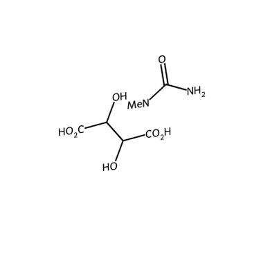 CNC(N)=O.O=C(O)C(O)C(O)C(=O)O